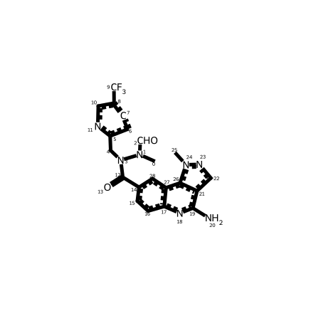 CN(C=O)N(Cc1ccc(C(F)(F)F)cn1)C(=O)c1ccc2nc(N)c3cnn(C)c3c2c1